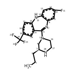 CCC[C@H]1CN(C2=Nc3cc(F)ccc3Nc3ccc(C(F)(F)F)cc32)CCN1